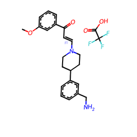 COc1cccc(C(=O)/C=C/N2CCC(c3cccc(CN)c3)CC2)c1.O=C(O)C(F)(F)F